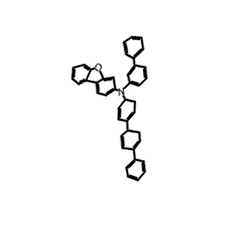 C1=CC(C2=CCC(N(c3cccc(-c4ccccc4)c3)c3ccc4c(c3)oc3ccccc34)C=C2)CC=C1c1ccccc1